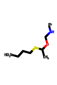 CC(C)NCOC(C)SCCCS(=O)(=O)O